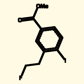 COC(=O)c1ccc(I)c(CCF)c1